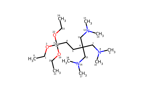 CCO[Si](CCC(CN(C)C)(CN(C)C)CN(C)C)(OCC)OCC